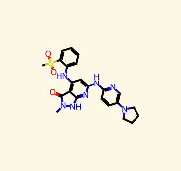 Cn1[nH]c2nc(Nc3ccc(N4CCCC4)cn3)cc(Nc3ccccc3S(C)(=O)=O)c2c1=O